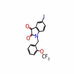 O=C1C(=O)N(Cc2ccccc2OC(F)(F)F)c2ccc(I)cc21